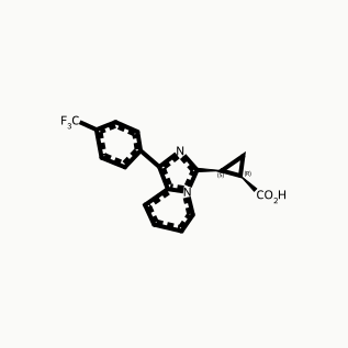 O=C(O)[C@@H]1C[C@@H]1c1nc(-c2ccc(C(F)(F)F)cc2)c2ccccn12